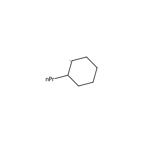 CCCC1[C]CCCC1